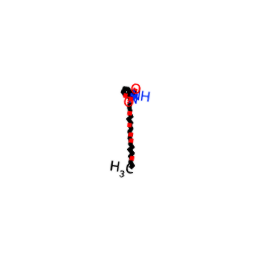 CCCCCCCCCCCCCCCCCCCCCCOc1n[nH]c(=O)c2ccccc12